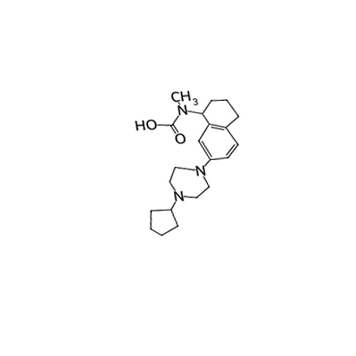 CN(C(=O)O)C1CCCc2ccc(N3CCN(C4CCCC4)CC3)cc21